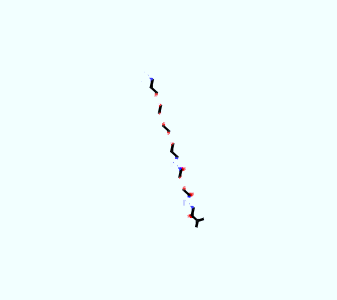 CC(C)C(=O)CNC(=O)COCC(=O)NCCCOCCOCCOCCCN